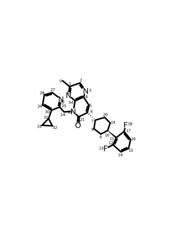 Cc1cnc2cc([C@H]3CC[C@H](c4c(F)cccc4F)CC3)c(=O)n(Cc3ncccc3C3CC3)c2n1